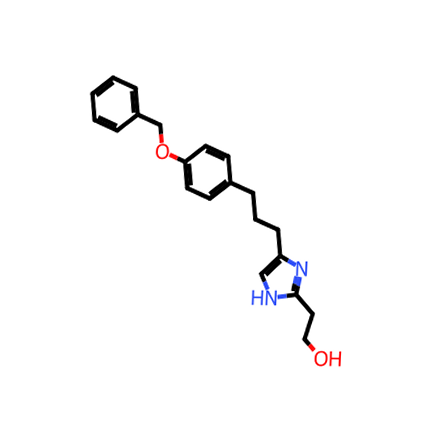 OCCc1nc(CCCc2ccc(OCc3ccccc3)cc2)c[nH]1